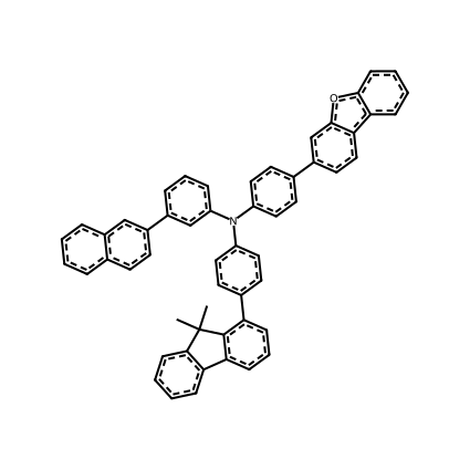 CC1(C)c2ccccc2-c2cccc(-c3ccc(N(c4ccc(-c5ccc6c(c5)oc5ccccc56)cc4)c4cccc(-c5ccc6ccccc6c5)c4)cc3)c21